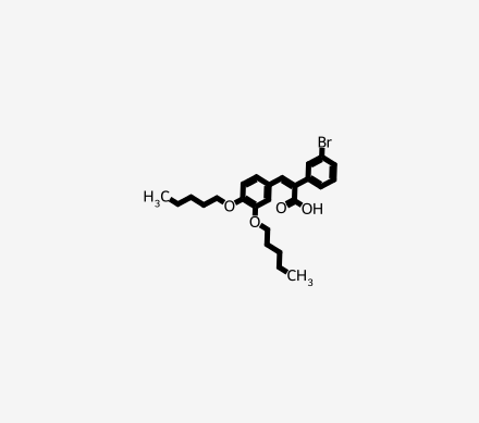 CCCCCOc1ccc(C=C(C(=O)O)c2cccc(Br)c2)cc1OCCCCC